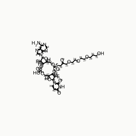 Nc1ncnc2c1ncn2[C@@H]1O[C@@H]2COP(=O)(SCC(=O)COCCOCCOCCCO)O[C@H]3[C@@H](F)[C@H](n4ccc(=O)[nH]c4=O)O[C@@H]3COP(=O)(O)O[C@H]2[C@H]1F